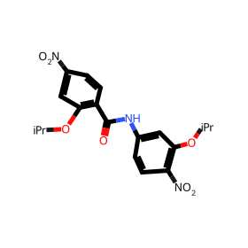 CC(C)Oc1cc([N+](=O)[O-])ccc1C(=O)Nc1ccc([N+](=O)[O-])c(OC(C)C)c1